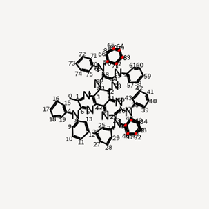 Cc1nc2c(nc1N(c1ccccc1)c1ccccc1)c1nc(N(c3ccccc3)c3ccccc3)c(N(c3ccccc3)c3ccccc3)nc1c1nc(N(c3ccccc3)c3ccccc3)c(N(c3ccccc3)c3ccccc3)nc21